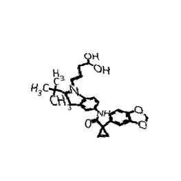 CC(C)(C)C1Cc2cc(NC(=O)C3(c4ccc5c(c4)OCO5)CC3)ccc2N1CCCC(O)O